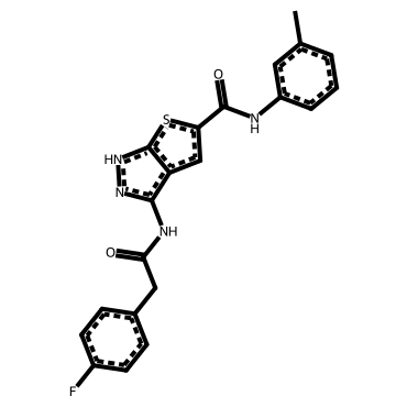 Cc1cccc(NC(=O)c2cc3c(NC(=O)Cc4ccc(F)cc4)n[nH]c3s2)c1